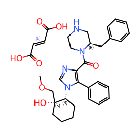 COC[C@]1(O)CCCC[C@H]1n1cnc(C(=O)N2CCNC[C@H]2Cc2ccccc2)c1-c1ccccc1.O=C(O)/C=C/C(=O)O